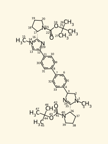 CN1CC(c2ccc(-c3ccc(-c4cn(C)c([C@@H]5CCCN5C(=O)OC(C)(C)C)n4)cc3)cc2)N=C1[C@@H]1CCCN1C(=O)OC(C)(C)C